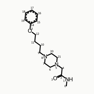 CNC(=O)CN1CCN(CCCCOc2ccccc2)CC1